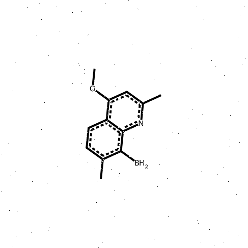 Bc1c(C)ccc2c(OC)cc(C)nc12